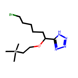 C[Si](C)(C)CCOC(CCCCCBr)c1nnn[nH]1